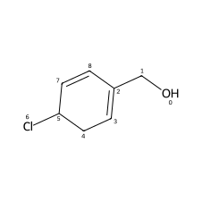 OCC1=CCC(Cl)C=C1